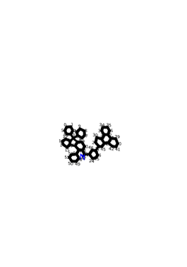 c1ccc(C2(c3ccccc3)c3ccccc3-c3c2ccc2c(-c4cccc(-c5ccc6c7ccccc7c7ccccc7c6c5)c4)nc4ccccc4c32)cc1